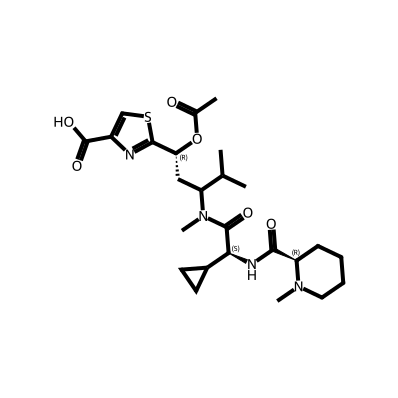 CC(=O)O[C@H](CC(C(C)C)N(C)C(=O)[C@@H](NC(=O)[C@H]1CCCCN1C)C1CC1)c1nc(C(=O)O)cs1